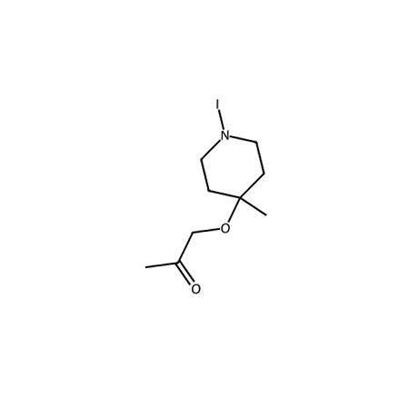 CC(=O)COC1(C)CCN(I)CC1